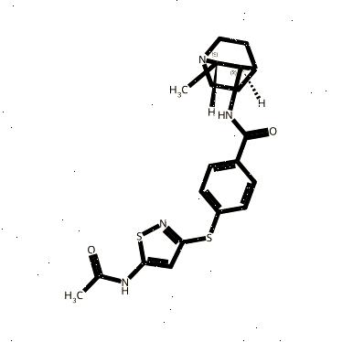 CC(=O)Nc1cc(Sc2ccc(C(=O)N[C@@H]3C4CCN(CC4)[C@H]3C)cc2)ns1